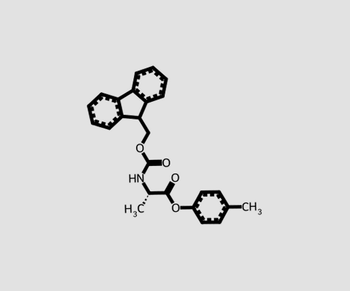 Cc1ccc(OC(=O)[C@H](C)NC(=O)OCC2c3ccccc3-c3ccccc32)cc1